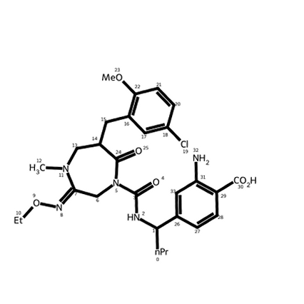 CCCC(NC(=O)N1C/C(=N/OCC)N(C)CC(Cc2cc(Cl)ccc2OC)C1=O)c1ccc(C(=O)O)c(N)c1